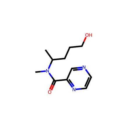 CC(CCCO)N(C)C(=O)c1cnccn1